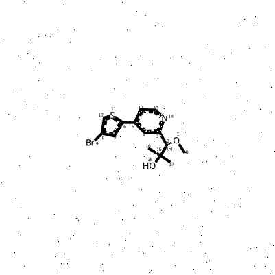 CO[C@@H](c1cc(-c2cc(Br)cs2)ccn1)C(C)(C)O